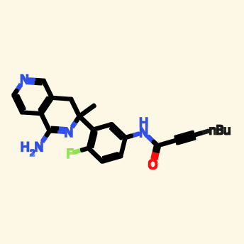 CCCCC#CC(=O)Nc1ccc(F)c(C2(C)Cc3cnccc3C(N)=N2)c1